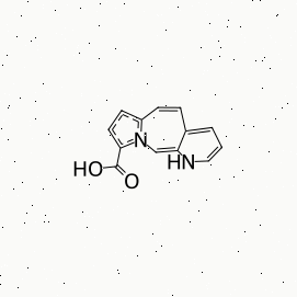 O=C(O)c1ccc2n1C=C1NC=CC=C1C=C2